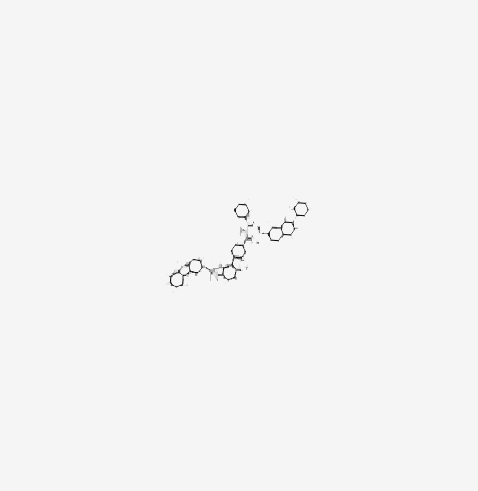 c1ccc(-c2ccc3ccc(-c4nc(-c5ccccc5)nc(-c5ccc6c(c5)oc5ccc7nc(-c8ccc9sc%10ccccc%10c9c8)oc7c56)n4)cc3c2)cc1